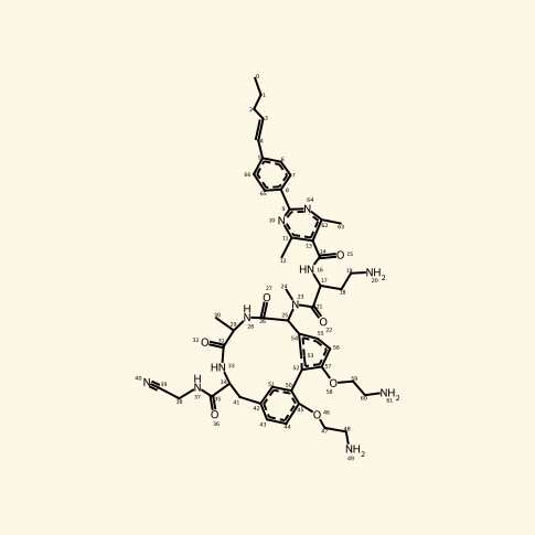 CCC/C=C/c1ccc(-c2nc(C)c(C(=O)NC(CCN)C(=O)N(C)C3C(=O)NC(C)C(=O)NC(C(=O)NCC#N)Cc4ccc(OCCN)c(c4)-c4cc3ccc4OCCN)c(C)n2)cc1